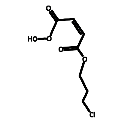 O=C(/C=C\C(=O)OCCCCl)OO